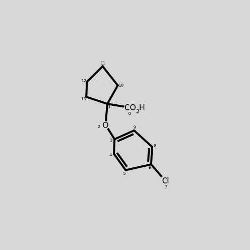 O=C(O)C1(Oc2ccc(Cl)cc2)CCCC1